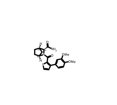 COc1ccc(-c2ccsc2C(=O)N2[C@@H]3CC[C@@H](C3)[C@H]2C(N)=O)cc1OC